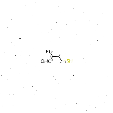 CCC(C=O)CCS